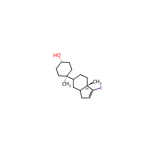 C[C@]12CCC([C@]3(C)CC[C@@H](O)CC3)CC1CC=C2I